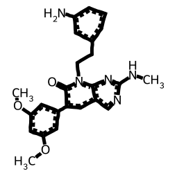 CNc1ncc2cc(-c3cc(OC)cc(OC)c3)c(=O)n(CCc3cccc(N)c3)c2n1